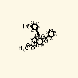 COC(=O)N1CC[C@@H]2[C@H]1CCC[C@]2(C#Cc1cccc(C)c1)OC(=O)c1cccnc1